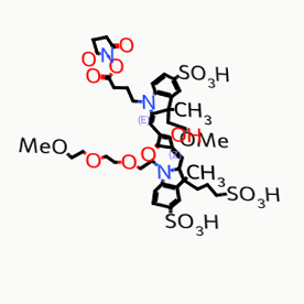 COCCOCCOCCN1c2ccc(S(=O)(=O)O)cc2C(C)(CCCS(=O)(=O)O)C1/C=C1\C(=O)C(/C=C2/N(CCCC(=O)ON3C(=O)CCC3=O)c3ccc(S(=O)(=O)O)cc3C2(C)CCOC)=C1O